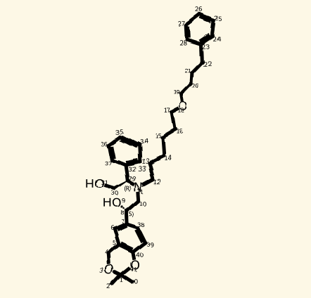 CC1(C)OCc2cc([C@H](O)CN(CCCCCCOCCCCc3ccccc3)[C@@H](CO)c3ccccc3)ccc2O1